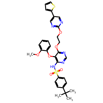 COc1ccccc1Oc1c(NS(=O)(=O)c2ccc(C(C)(C)C)cc2)ncnc1OCCOc1ncc(-c2cccs2)cn1